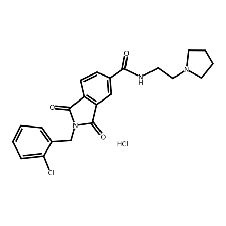 Cl.O=C(NCCN1CCCC1)c1ccc2c(c1)C(=O)N(Cc1ccccc1Cl)C2=O